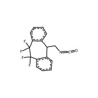 O=C=NCC1c2ccccc2C(F)(F)C(F)(F)c2ccccc21